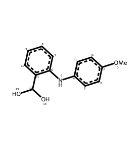 COc1ccc(Nc2ccccc2C(O)O)cc1